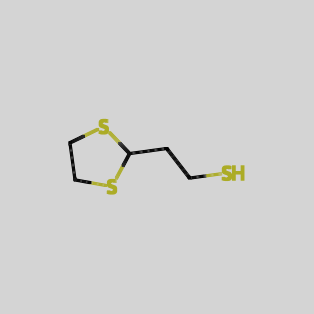 SCCC1SCCS1